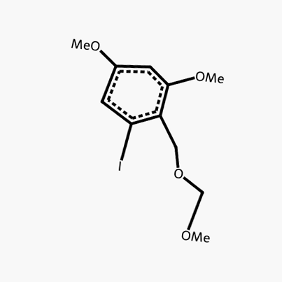 COCOCc1c(I)cc(OC)cc1OC